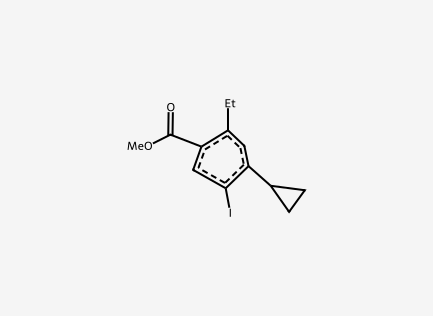 CCc1cc(C2CC2)c(I)cc1C(=O)OC